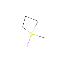 CS1(I)CCC1